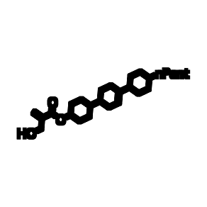 C=C(CO)C(=O)OC1CCC(C2CC=C(C3CCC(CCCCC)CC3)CC2)CC1